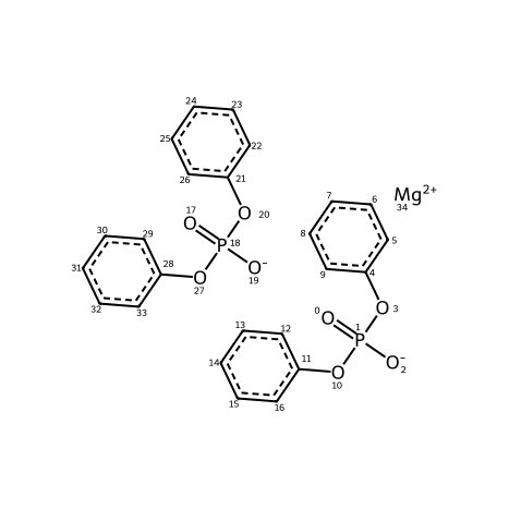 O=P([O-])(Oc1ccccc1)Oc1ccccc1.O=P([O-])(Oc1ccccc1)Oc1ccccc1.[Mg+2]